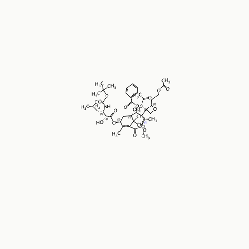 CO/C1=C(\C)C([C@]2(OC(C)=O)CO[C@@H]2CCOC(C)=O)[C@H](OC(=O)c2ccccc2)[C@]2(O)C[C@H](OC(=O)[C@H](O)[C@H](CC(C)C)NC(=O)OC(C)(C)C)C(C)=C(C1=O)C2(C)C